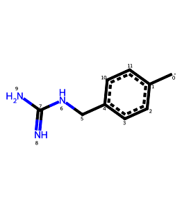 [CH2]c1ccc(CNC(=N)N)cc1